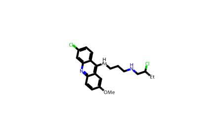 CCC(Cl)CNCCC[AsH]c1c2ccc(Cl)cc2nc2ccc(OC)cc12